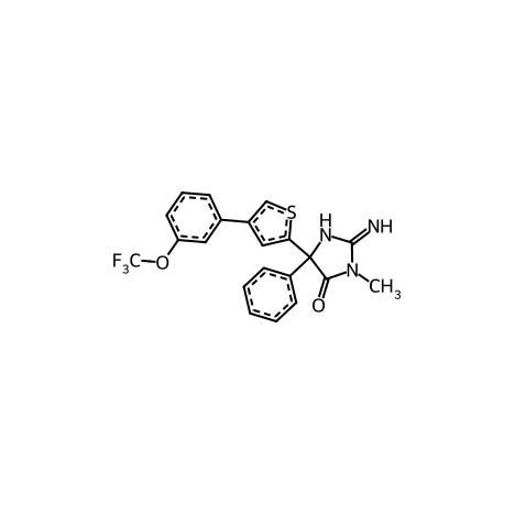 CN1C(=N)NC(c2ccccc2)(c2cc(-c3cccc(OC(F)(F)F)c3)cs2)C1=O